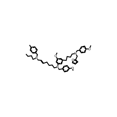 CCCCN(C/C=C/CCCCN(Cc1ccc(OC)cc1)c1cc(CCCCN(Cc2ccc(OC)cc2)Cc2ccco2)cc(OC)c1)Cc1ccc(C)cc1